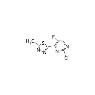 Cc1nnc(-c2nc(Cl)ncc2F)s1